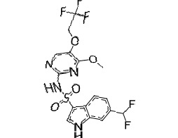 COc1nc(NS(=O)(=O)c2c[nH]c3cc(C(F)F)ccc23)ncc1OCC(F)(F)F